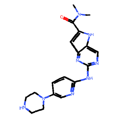 CN(C)C(=O)c1cc2nc(Nc3ccc(N4CCNCC4)cn3)ncc2[nH]1